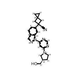 N#CC1(c2ccc3cnn(-c4cc(N5CC[C@@H](CO)C5)ncn4)c3c2)CC2(CC2)C1